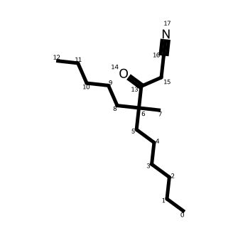 CCCCCCC(C)(CCCCC)C(=O)CC#N